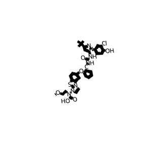 COCCN(C(=O)O)N1C=CN2c3cc(Oc4ccccc4CNC(=O)Nc4cc(C(C)(C)C)nn4-c4ccc(O)c(Cl)c4)ccc3SC21